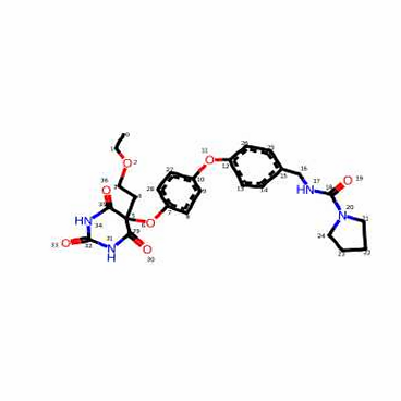 CCOCCC1(Oc2ccc(Oc3ccc(CNC(=O)N4CCCC4)cc3)cc2)C(=O)NC(=O)NC1=O